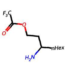 CCCCCCC(N)CCOC(=O)C(F)(F)F